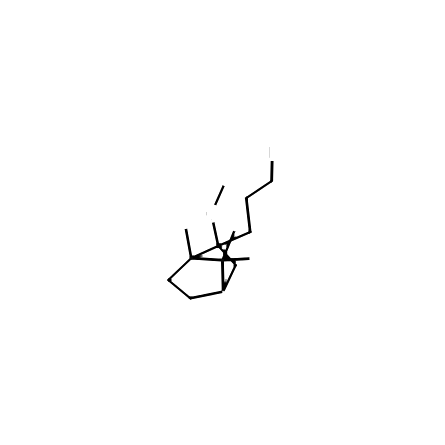 COC1(CCCF)CC2CCC1(C)C2(C)C